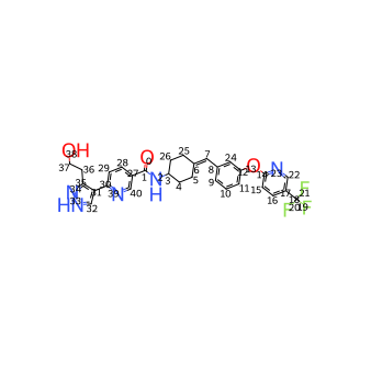 O=C(NC1CCC(=Cc2cccc(Oc3ccc(C(F)(F)F)cn3)c2)CC1)c1ccc(-c2c[nH]nc2CCO)nc1